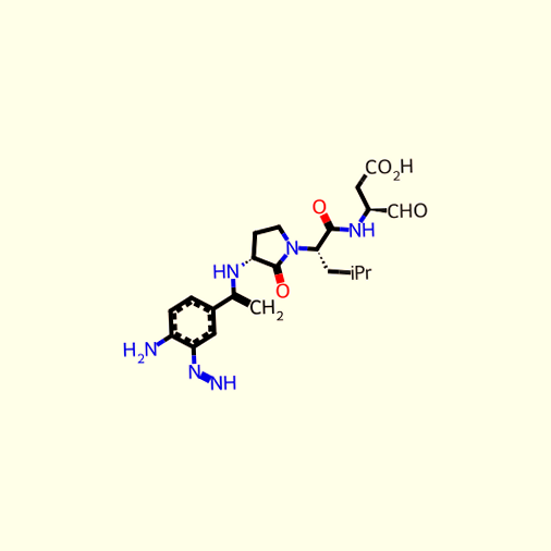 C=C(N[C@@H]1CCN([C@@H](CC(C)C)C(=O)N[C@H](C=O)CC(=O)O)C1=O)c1ccc(N)c(N=N)c1